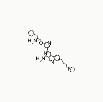 Nc1nc(-c2cncc(OC[C@@H](N)Cc3ccccc3)c2)cc2c1cnc1cc(C=CCCN3CCCC3)ccc12